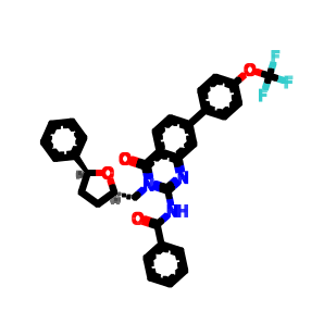 O=C(Nc1nc2cc(-c3ccc(OC(F)(F)F)cc3)ccc2c(=O)n1C[C@@H]1CC[C@@H](c2ccccc2)O1)c1ccccc1